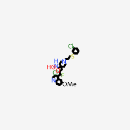 COc1ccc2ncc(Cl)c([C@H](F)CCC3(C(=O)NO)CCN(CCCSc4cccc(Cl)c4)CC3)c2c1